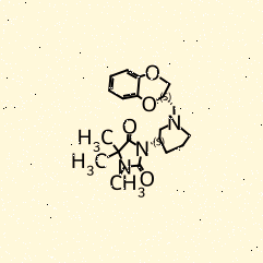 CN1C(=O)N([C@H]2CCCN(C[C@H]3COc4ccccc4O3)C2)C(=O)C1(C)C